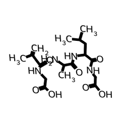 C=C(C)C(=O)NCC(=O)O.CC(C)CC(NC(=O)C(C)N)C(=O)NCC(=O)O